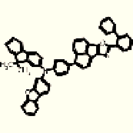 CC1(C)c2ccccc2-c2ccc(N(c3ccc(-c4ccc5c6c(cccc46)-c4oc(-c6ccccc6-c6ccccc6)nc4-5)cc3)c3ccc4c(c3)oc3ccccc34)cc21